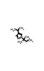 CCC(C)(C)n1cc(C(C)C)cn1